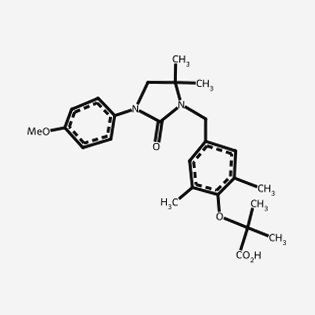 COc1ccc(N2CC(C)(C)N(Cc3cc(C)c(OC(C)(C)C(=O)O)c(C)c3)C2=O)cc1